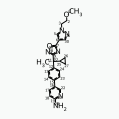 COCCn1cc(-c2nc([C@](C)(c3ccc(-c4ccc(N)nc4)cc3)C3CC3)no2)cn1